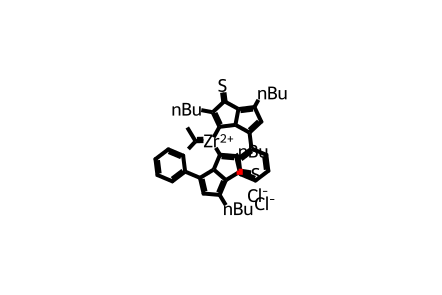 CCCCC1=C2C(=S)C(CCCC)=[C]([Zr+2]([C]3=C(CCCC)C(=S)C4=C(CCCC)C=C(c5ccccc5)C43)=[C](C)C)C2C(c2ccccc2)=C1.[Cl-].[Cl-]